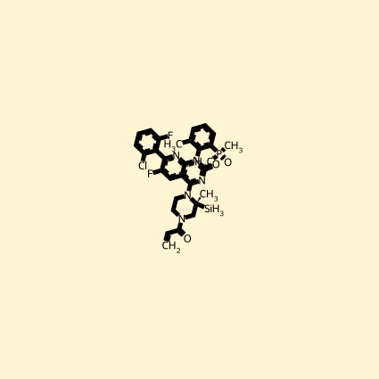 C=CC(=O)N1CCN(c2nc(=O)n(-c3c(C)cccc3P(C)(C)=O)c3nc(-c4c(F)cccc4Cl)c(F)cc23)[C@@](C)([SiH3])C1